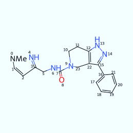 CN/C=C\C(=N)CNC(=O)N1CCc2[nH]nc(-c3ccccc3)c2C1